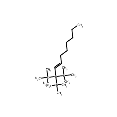 CCCCCC/C=C/[Si]([Si](C)(C)C)([Si](C)(C)C)[Si](C)(C)C